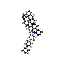 CC1(C)c2ccccc2C2(c3ccccc3-c3ccc(-c4ccc(N(c5ccc(-c6ccc(-c7ccccc7)cc6)cc5)c5ccccc5-c5ccccc5)cc4)cc32)c2ccccc21